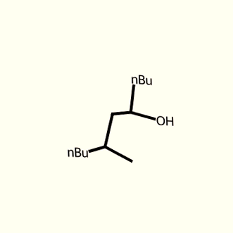 CCCCC(C)CC(O)CCCC